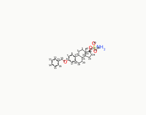 C[C@]12CCC3c4ccc(OCc5ccccc5)cc4CCC3C1CC[C@@H]2OS(N)(=O)=O